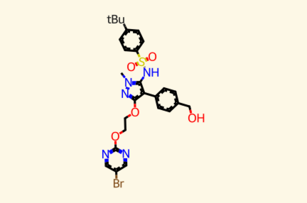 Cn1nc(OCCOc2ncc(Br)cn2)c(-c2ccc(CO)cc2)c1NS(=O)(=O)c1ccc(C(C)(C)C)cc1